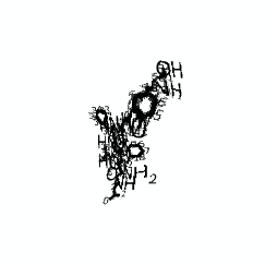 CC(C)CNC(=O)C(N)[C@@H](O)[C@H](CC1CCCCC1)C(=O)[C@H](CC(C)C)NC(=O)[C@H](Cc1ccccc1)NC(=O)CC1COc2ccc(CNCCO)cc21